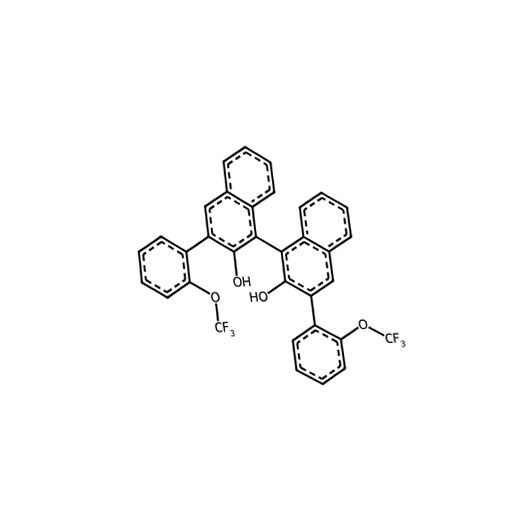 Oc1c(-c2ccccc2OC(F)(F)F)cc2ccccc2c1-c1c(O)c(-c2ccccc2OC(F)(F)F)cc2ccccc12